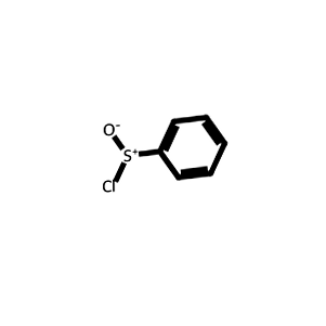 [O-][S+](Cl)c1ccccc1